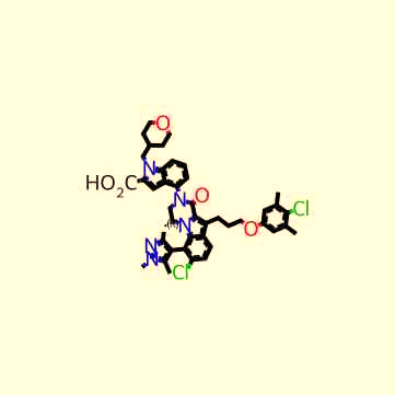 Cc1cc(OCCCc2c3n(c4c(-c5c(C)nn(C)c5C)c(Cl)ccc24)[C@H](C)CN(c2cccc4c2cc(C(=O)O)n4CC2CCOCC2)C3=O)cc(C)c1Cl